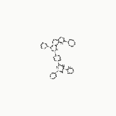 c1ccc(-c2ccc3ccc4c(-c5ccccc5)cc(-c5ccc(-c6nc(-c7ccccc7)nc(-c7ccccn7)n6)cc5)nc4c3n2)cc1